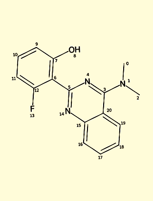 CN(C)c1nc(-c2c(O)cccc2F)nc2ccccc12